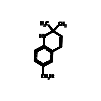 CCOC(=O)c1ccc2c(c1)C=CC(C)(C)N2